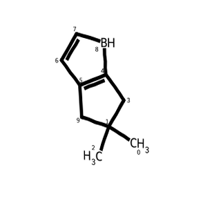 CC1(C)CC2=C(C=CB2)C1